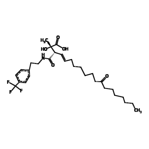 CCCCCCCC(=O)CCCCCC/C=C/[C@H](C(=O)NCCc1ccc(C(F)(F)F)cc1)[C@](C)(O)C(=O)O